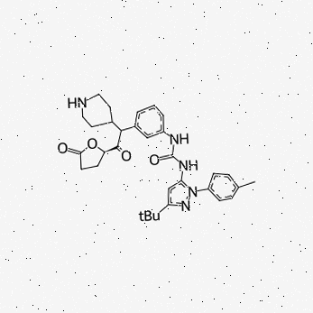 Cc1ccc(-n2nc(C(C)(C)C)cc2NC(=O)Nc2cccc(C(C(=O)[C@H]3CCC(=O)O3)C3CCNCC3)c2)cc1